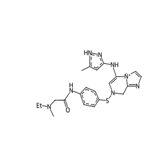 CCN(C)CC(=O)Nc1ccc(SN2C=C(Nc3cc(C)[nH]n3)[N+]3C=CN=C3C2)cc1